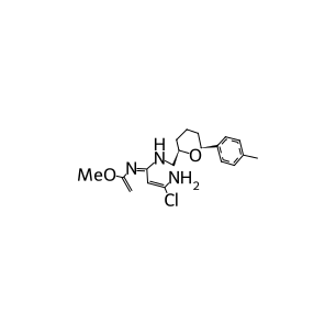 C=C(/N=C(\C=C(/N)Cl)NC[C@H]1CCC[C@@H](c2ccc(C)cc2)O1)OC